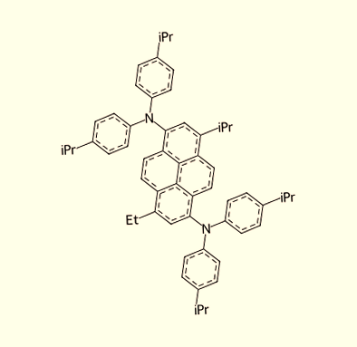 CCc1cc(N(c2ccc(C(C)C)cc2)c2ccc(C(C)C)cc2)c2ccc3c(C(C)C)cc(N(c4ccc(C(C)C)cc4)c4ccc(C(C)C)cc4)c4ccc1c2c34